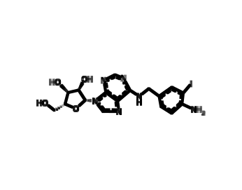 Nc1ccc(CNc2ncnc3c2ncn3[C@@H]2O[C@H](CO)[C@@H](O)[C@H]2O)cc1I